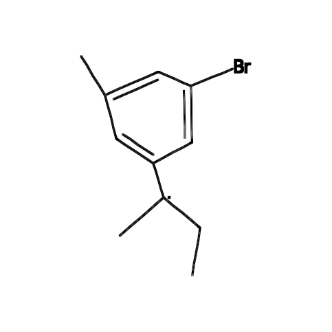 CC[C](C)c1cc(C)cc(Br)c1